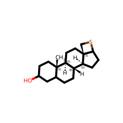 C[C@]12CCC(O)CC1CC[C@H]1[C@@H]3CCC4SC[C@@]43CC[C@@H]12